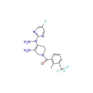 Cc1c(C(=O)N2CCC(N(N)c3ncc(F)cn3)=C(N)C2)cccc1C(F)(F)F